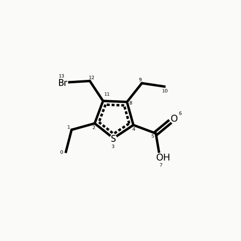 CCc1sc(C(=O)O)c(CC)c1CBr